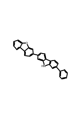 c1ccc(-c2ccc3c(c2)[nH]c2cc(-c4ccc5c(c4)oc4ccccc45)ccc23)cc1